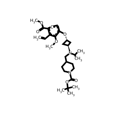 C=Cc1c(C(=O)OC)ccc(O[C@H]2C[C@H](N(CC3CCN(C(=O)OC(C)(C)C)CC3)C(C)C)C2)c1OC